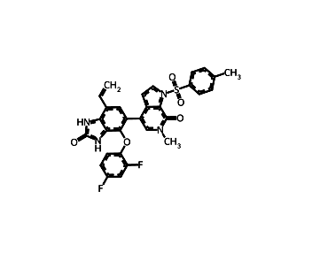 C=Cc1cc(-c2cn(C)c(=O)c3c2ccn3S(=O)(=O)c2ccc(C)cc2)c(Oc2ccc(F)cc2F)c2[nH]c(=O)[nH]c12